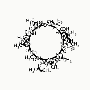 C=CC(C)=O.CC=CC[C@@H](C)[C@@H](O)[C@H]1C(=O)N[C@@H](CC)C(=O)N(C)CC(=O)N(C)[C@@H](CC(C)C)C(=O)N[C@@H](C(C)C)C(=O)N(C)[C@@H](CC(C)C)C(=O)N[C@@H](C)C(=O)N[C@H](C)C(=O)N(C)[C@@H](CC(C)C)C(=O)N(C)[C@@H](CC(C)C)C(=O)N(C)[C@@H](C(C)C)C(=O)N1C